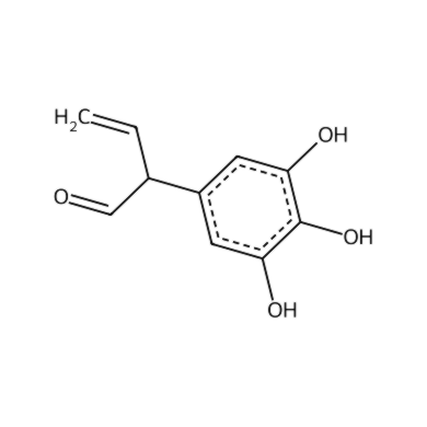 C=CC(C=O)c1cc(O)c(O)c(O)c1